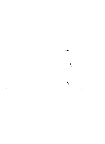 COC(=O)C=C[C@@H](C)C1=CC[C@H]2[C@@H]3CC=C4C[C@@H](O)C[C@H](O)[C@]4(C)[C@H]3CC[C@]12C